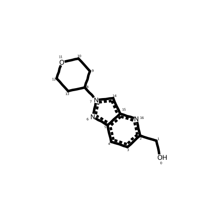 OCc1ccc2nn(C3CCOCC3)cc2n1